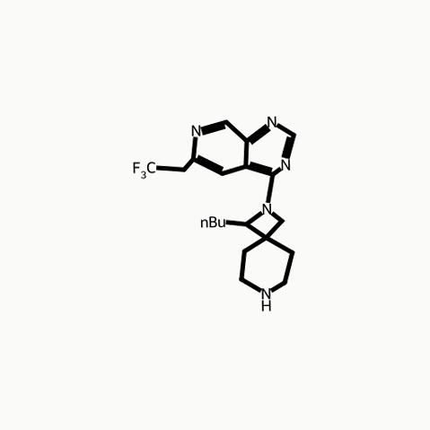 CCCCC1N(c2ncnc3cnc(CC(F)(F)F)cc23)CC12CCNCC2